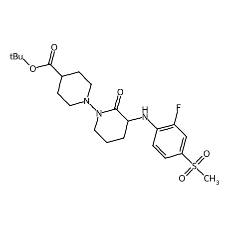 CC(C)(C)OC(=O)C1CCN(N2CCCC(Nc3ccc(S(C)(=O)=O)cc3F)C2=O)CC1